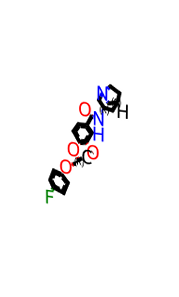 O=C(N[C@@H]1C[C@@H]2CCN(C2)C1)c1ccc2c(c1)OC[C@@H](COc1ccc(F)cc1)O2